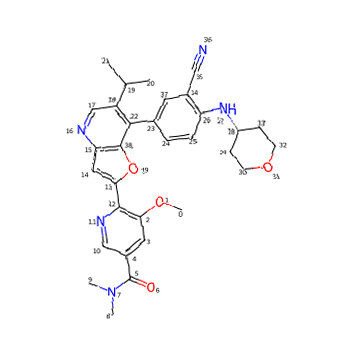 COc1cc(C(=O)N(C)C)cnc1-c1cc2ncc(C(C)C)c(-c3ccc(NC4CCOCC4)c(C#N)c3)c2o1